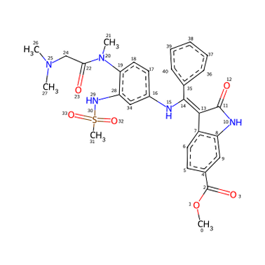 COC(=O)c1ccc2c(c1)NC(=O)C2=C(Nc1ccc(N(C)C(=O)CN(C)C)c(NS(C)(=O)=O)c1)c1ccccc1